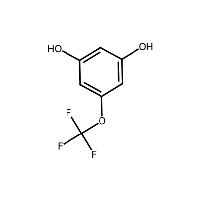 Oc1cc(O)cc(OC(F)(F)F)c1